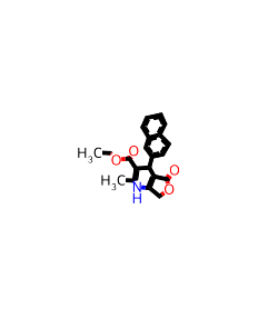 CCOC(=O)C1=C(C)NC2=C(C(=O)OC2)C1c1ccc2ccccc2c1